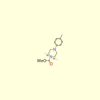 COC(=O)N1[C@H](C)CN(c2ccc(C)cc2)C[C@@H]1C